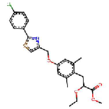 CCOC(Cc1c(C)cc(OCc2csc(-c3ccc(Cl)cc3)n2)cc1C)C(=O)OC